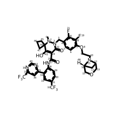 CN1N(Cc2ccc(OCCN3C4COC[C@H]3C4)c(F)c2F)C(=O)C(C(=O)Nc2ccc(C(F)(F)F)cc2-c2cc(C(F)(F)F)ncn2)=C(O)C12CCC2